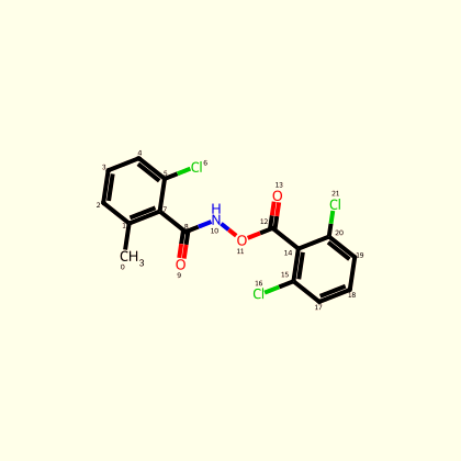 Cc1cccc(Cl)c1C(=O)NOC(=O)c1c(Cl)cccc1Cl